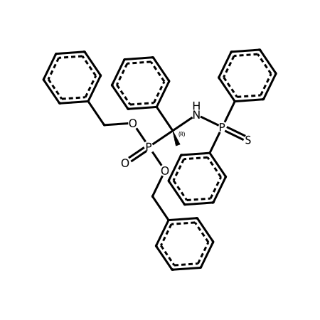 C[C@](NP(=S)(c1ccccc1)c1ccccc1)(c1ccccc1)P(=O)(OCc1ccccc1)OCc1ccccc1